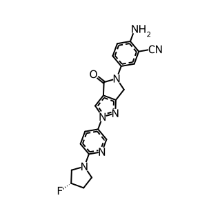 N#Cc1cc(N2Cc3nn(-c4ccc(N5CC[C@H](F)C5)nc4)cc3C2=O)ccc1N